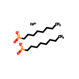 CCCCCCCC[PH](=O)[O-].CCCCCCCC[PH](=O)[O-].[Fe+2]